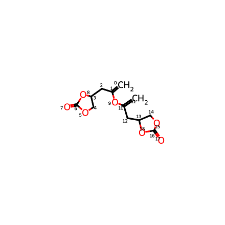 C=C(CC1COC(=O)O1)OC(=C)CC1COC(=O)O1